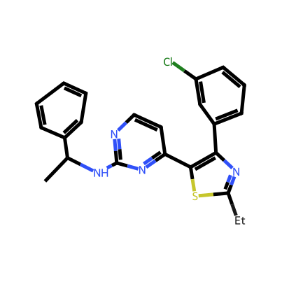 CCc1nc(-c2cccc(Cl)c2)c(-c2ccnc(NC(C)c3ccccc3)n2)s1